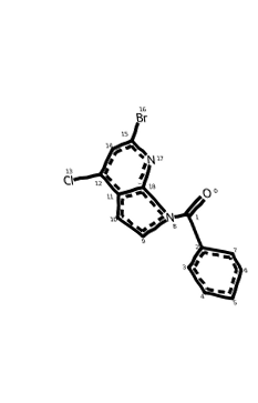 O=C(c1ccccc1)n1ccc2c(Cl)cc(Br)nc21